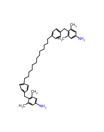 Cc1cc(N)cc(C)c1Cc1ccc(CCCCCCCCCCCCCc2ccc(Cc3c(C)cc(N)cc3C)cc2)cc1